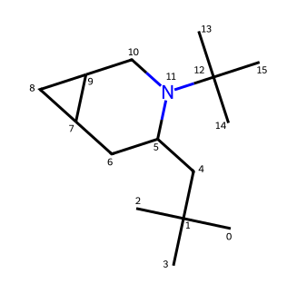 CC(C)(C)CC1CC2CC2CN1C(C)(C)C